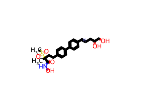 CC(CCc1ccc(-c2ccc(/C=C/CC(O)CO)cc2)cc1)(C(=O)NO)S(C)(=O)=O